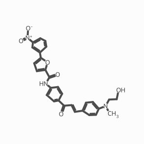 CN(CCO)c1ccc(/C=C/C(=O)c2ccc(NC(=O)c3ccc(-c4cccc([N+](=O)[O-])c4)o3)cc2)cc1